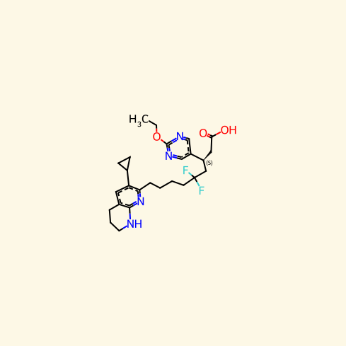 CCOc1ncc([C@@H](CC(=O)O)CC(F)(F)CCCCc2nc3c(cc2C2CC2)CCCN3)cn1